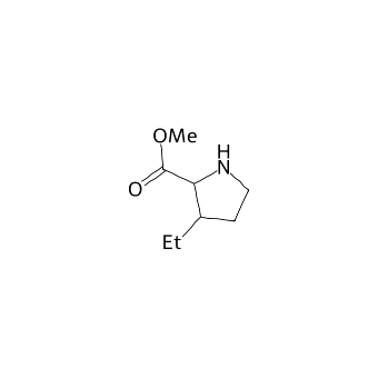 CCC1CCNC1C(=O)OC